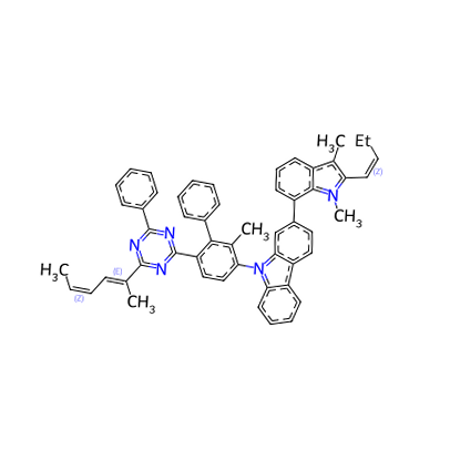 C/C=C\C=C(/C)c1nc(-c2ccccc2)nc(-c2ccc(-n3c4ccccc4c4ccc(-c5cccc6c(C)c(/C=C\CC)n(C)c56)cc43)c(C)c2-c2ccccc2)n1